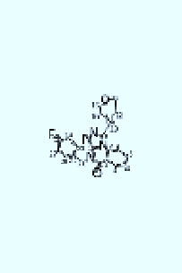 O=c1c2ccccc2n2c(CN3CCOCC3)nnc2n1Cc1ccc(F)cc1